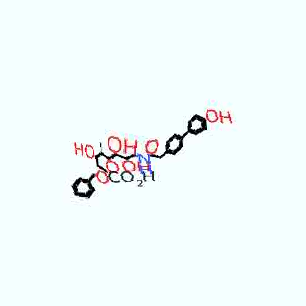 C[C@H]1C([C@H](O)[C@H](O)CNC(=O)Cc2ccc(-c3ccc(O)cc3)cc2)O[C@@](OCc2ccccc2)(C(=O)O)C[C@H]1O